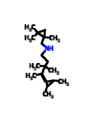 C/C(=C1/C(C)[C@H]1C)C(C)(C)CCNCC1(C)CC1(C)C